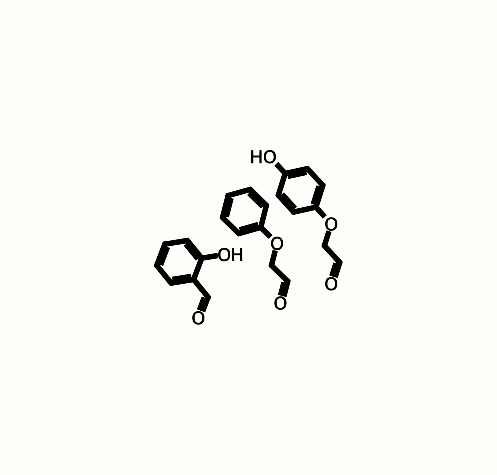 O=CCOc1ccc(O)cc1.O=CCOc1ccccc1.O=Cc1ccccc1O